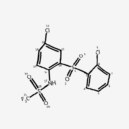 O=S(=O)(c1ccccc1Cl)c1cc(Cl)ccc1NS(=O)(=O)C(F)(F)F